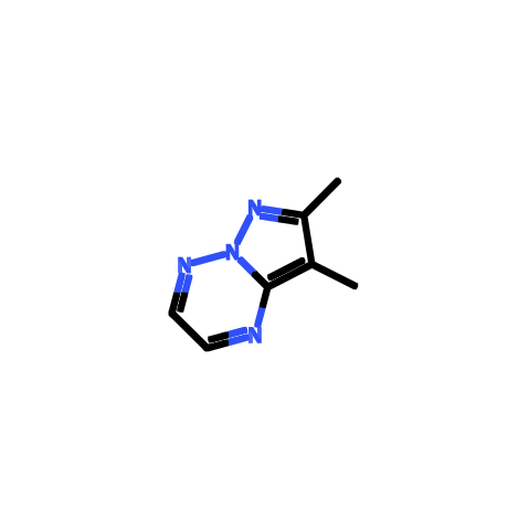 Cc1nn2nccnc2c1C